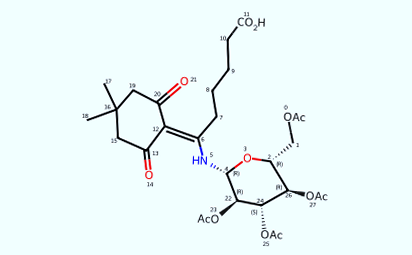 CC(=O)OC[C@H]1O[C@@H](NC(CCCCC(=O)O)=C2C(=O)CC(C)(C)CC2=O)[C@H](OC(C)=O)[C@@H](OC(C)=O)[C@@H]1OC(C)=O